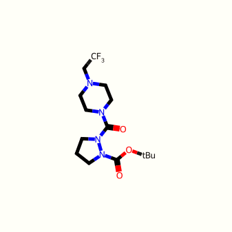 CC(C)(C)OC(=O)N1CCCN1C(=O)N1CCN(CC(F)(F)F)CC1